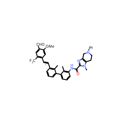 COc1cc(/C=C/c2cccc(-c3cccc(NC(=O)c4nc5c(n4C)CCN(C(C)C)C5)c3C)c2C)c(C(F)(F)F)cc1C=O